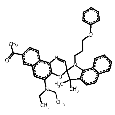 CCN(CC)c1cc2cc(C(C)=O)ccc2c2c1OC1(C=N2)N(CCCOc2ccccc2)c2c(ccc3ccccc23)C1(C)C